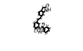 O=C1Cc2ccc(C=Cc3ccc(C(=O)O)c(NC(=O)c4ccccc4)c3)cc2N1